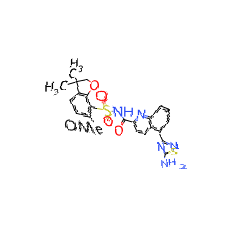 COc1ccc2c(c1S(=O)(=O)NC(=O)c1ccc3c(-c4nsc(N)n4)cccc3n1)OCC2(C)C